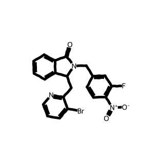 O=C1c2ccccc2C(Cc2ncccc2Br)N1Cc1ccc([N+](=O)[O-])c(F)c1